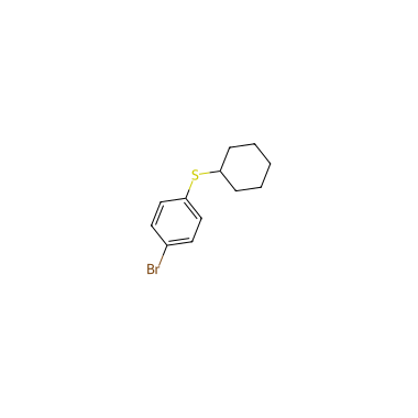 Brc1ccc(SC2CCCCC2)cc1